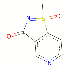 CS1(=O)=NC(=O)c2cnccc21